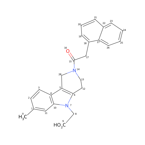 Cc1ccc2c3c(n(CC(=O)O)c2c1)CCN(C(=O)Cc1cccc2ccccc12)C3